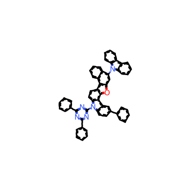 c1ccc(-c2ccc3c(c2)c2c4oc5cc(-n6c7ccccc7c7ccccc76)c6ccccc6c5c4ccc2n3-c2nc(-c3ccccc3)nc(-c3ccccc3)n2)cc1